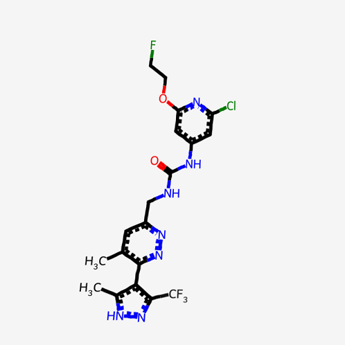 Cc1cc(CNC(=O)Nc2cc(Cl)nc(OCCF)c2)nnc1-c1c(C(F)(F)F)n[nH]c1C